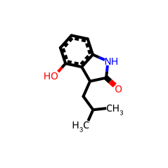 CC(C)CC1C(=O)Nc2cccc(O)c21